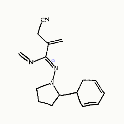 C=N/C(=N\N1CCCC1C1C=CC=CC1)C(=C)CC#N